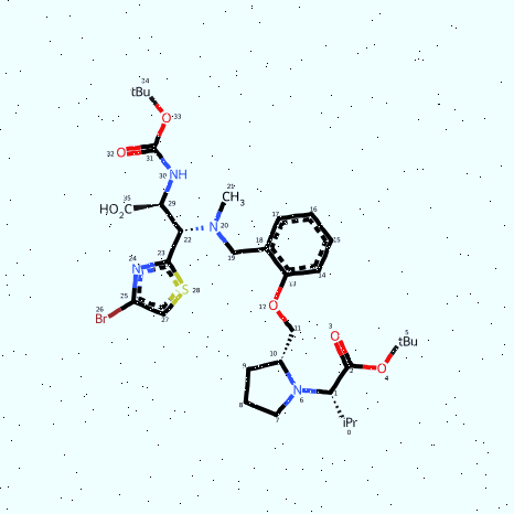 CC(C)[C@@H](C(=O)OC(C)(C)C)N1CCC[C@@H]1COc1ccccc1CN(C)[C@H](c1nc(Br)cs1)[C@H](NC(=O)OC(C)(C)C)C(=O)O